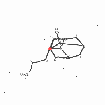 O=CCCCN1C2CC3CC1CC(C2)C3O